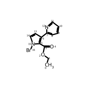 CCOC(=O)c1c(-c2ccccn2)ccn1Br